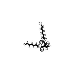 CCCCCCCOC(=O)c1ccoc1C(=O)OCCCCCCC